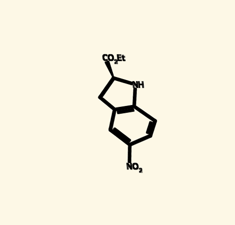 CCOC(=O)[C@@H]1Cc2cc([N+](=O)[O-])ccc2N1